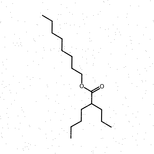 CCCCCCCCOC(=O)C(CCC)CCCC